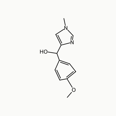 COc1ccc(C(O)c2cn(C)cn2)cc1